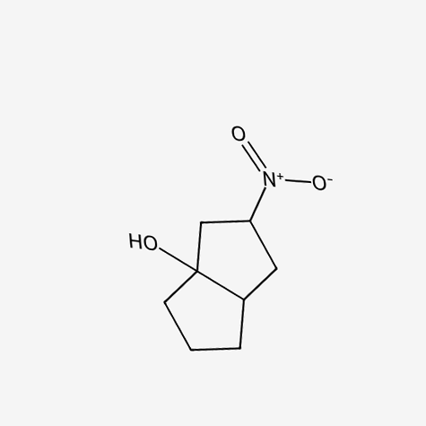 O=[N+]([O-])C1CC2CCCC2(O)C1